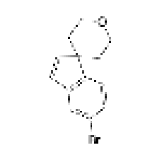 Brc1ccc2c(c1)C=CC21CCOCC1